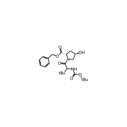 CC(C)(C)OC(=O)NC(C(=O)N1C[C@H](O)C[C@H]1C(=O)OCc1ccccc1)C(C)(C)C